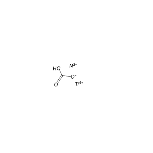 O=C([O-])O.[N-3].[Ti+4]